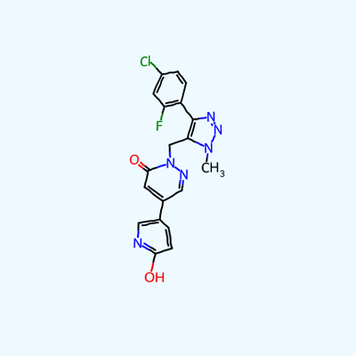 Cn1nnc(-c2ccc(Cl)cc2F)c1Cn1ncc(-c2ccc(O)nc2)cc1=O